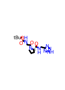 CC(C)(C)OC(=O)NCC(=O)N1CCC[C@H]1C(=O)NCc1nn[nH]n1